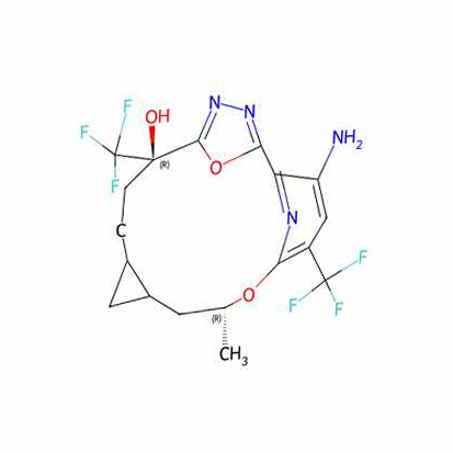 C[C@@H]1CC2CC2CC[C@](O)(C(F)(F)F)c2nnc(o2)-c2nc(c(C(F)(F)F)cc2N)O1